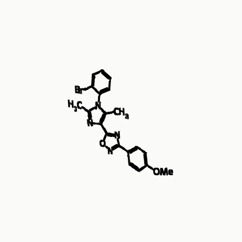 COc1ccc(-c2noc(-c3nc(C)n(-c4ccccc4Br)c3C)n2)cc1